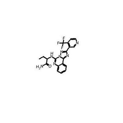 CCC(Nc1nc2ccccc2c2nc(-c3cnccc3C(F)(F)F)nn12)C(N)=O